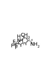 Cc1cc(CN)cc2cc(C(F)(F)F)[nH]c12